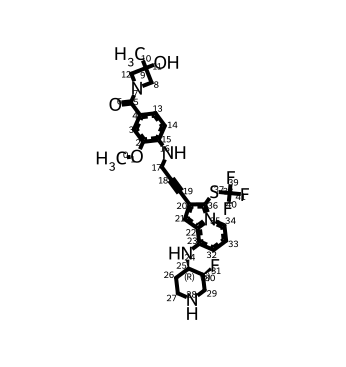 COc1cc(C(=O)N2CC(C)(O)C2)ccc1NCC#Cc1cc2c(N[C@@H]3CCNC[C@@H]3F)cccn2c1SC(F)(F)F